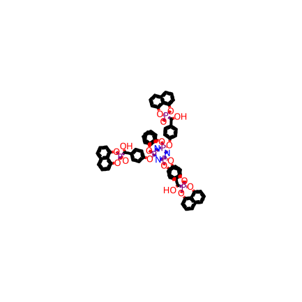 O=P1(C(O)c2ccc(OP3(Oc4ccccc4)=NP(Oc4ccccc4)(Oc4ccc(C(O)P5(=O)Oc6cccc7cccc(c67)O5)cc4)=NP(Oc4ccccc4)(Oc4ccc(C(O)P5(=O)Oc6cccc7cccc(c67)O5)cc4)=N3)cc2)Oc2cccc3cccc(c23)O1